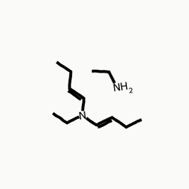 CCC=CN(C=CCC)CC.CCN